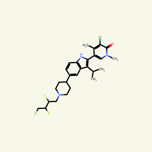 Cc1c(-c2[nH]c3ccc(C4CCN(CC(F)C(F)CF)CC4)cc3c2C(C)C)cn(C)c(=O)c1Cl